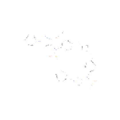 COC(=O)c1cc(OC2CN(Cc3ccc(N(c4cnn(-c5ccc(F)cc5)c4)[SH](=O)=O)c(Br)c3)C2)ccc1N(c1cnn(-c2ccc(F)cc2)c1)[SH](=O)=O